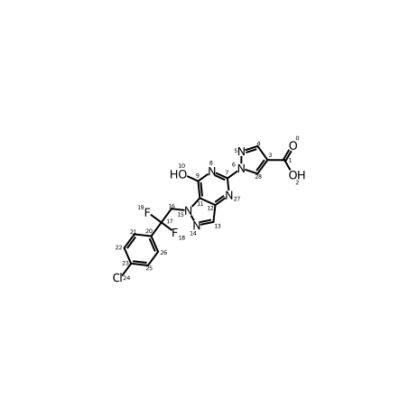 O=C(O)c1cnn(-c2nc(O)c3c(cnn3CC(F)(F)c3ccc(Cl)cc3)n2)c1